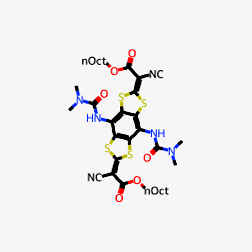 [C-]#[N+]C(C(=O)OCCCCCCCC)=C1Sc2c(NC(=O)N(C)C)c3c(c(NC(=O)N(C)C)c2S1)SC(=C(C#N)C(=O)OCCCCCCCC)S3